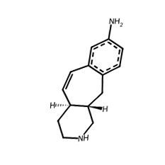 Nc1ccc2c(c1)C=C[C@@H]1CCNC[C@H]1C2